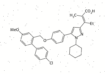 CCC(=C(C)C(=O)O)c1cc(-c2ccc(OCc3cc(OC)ccc3-c3ccc(Cl)cc3)cc2)n(C2CCCCC2)n1